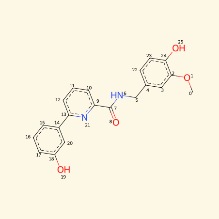 COc1cc(CNC(=O)c2cccc(-c3cccc(O)c3)n2)ccc1O